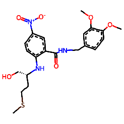 COc1ccc(CNC(=O)c2cc([N+](=O)[O-])ccc2N[C@@H](CO)CCSC)cc1OC